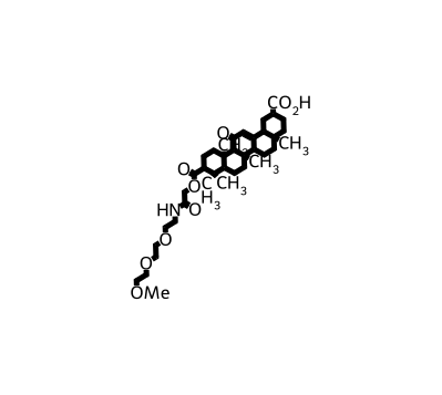 COCCOCCOCCNC(=O)COC(=O)C1CCC2(C)C(CCC3(C)C4CCC5(C)CCC(C(=O)O)CC5C4=CC(=O)C32)C1(C)C